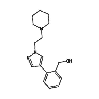 OCc1ccccc1-c1cnn(CCN2CCCCC2)c1